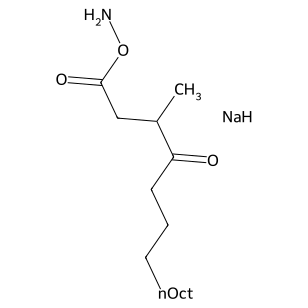 CCCCCCCCCCCC(=O)C(C)CC(=O)ON.[NaH]